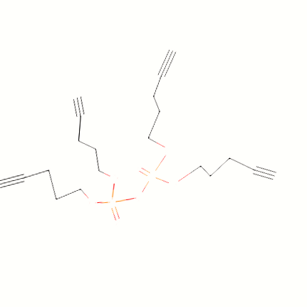 C#CCCCOP(=O)(OCCCC#C)OP(=O)(OCCCC#C)OCCCC#C